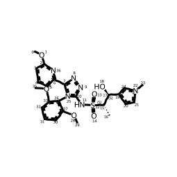 COc1cccc(-c2nnc(NS(=O)(=O)[C@@H](C)[C@@H](O)c3ccn(C)c3)n2-c2c(OC)cccc2OC)n1